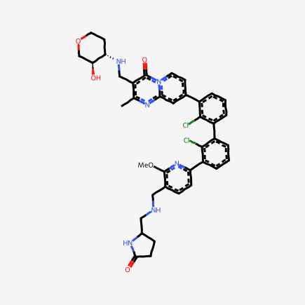 COc1nc(-c2cccc(-c3cccc(-c4ccn5c(=O)c(CN[C@H]6CCOC[C@@H]6O)c(C)nc5c4)c3Cl)c2Cl)ccc1CNCC1CCC(=O)N1